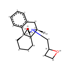 [c]1ccc2c(c1)[C@@]13CCCC[C@H]1[C@@H](C2)N(CC1CCO1)CC3